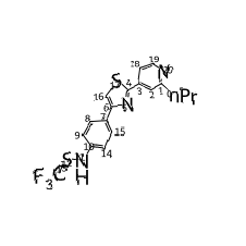 CCCc1cc(-c2nc(-c3ccc(NSC(F)(F)F)cc3)cs2)ccn1